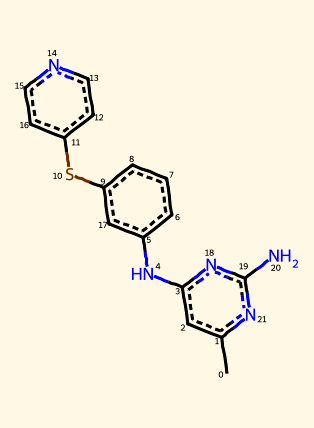 Cc1cc(Nc2cccc(Sc3ccncc3)c2)nc(N)n1